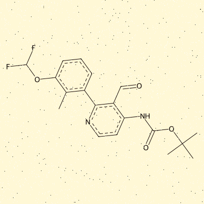 Cc1c(OC(F)F)cccc1-c1nccc(NC(=O)OC(C)(C)C)c1C=O